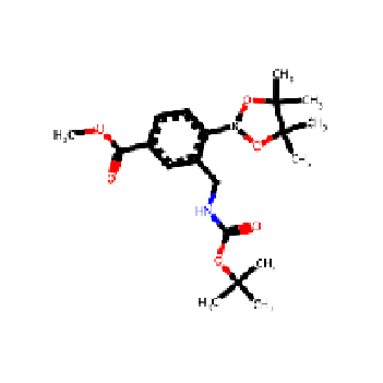 COC(=O)c1ccc(B2OC(C)(C)C(C)(C)O2)c(CNC(=O)OC(C)(C)C)c1